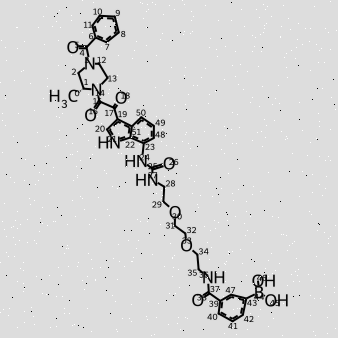 C[C@@H]1CN(C(=O)c2ccccc2)CCN1C(=O)C(=O)c1c[nH]c2c(NC(=O)NCCOCCOCCNC(=O)c3cccc(B(O)O)c3)cccc12